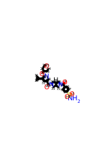 NS(=O)(=O)c1ccc(C(=O)N2CC3CN(C(=O)c4cnc(OC5CCOCC5)c(C5CC5)c4)C[C@@H]3C2)cc1